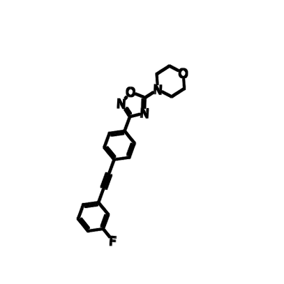 Fc1cccc(C#Cc2ccc(-c3noc(N4CCOCC4)n3)cc2)c1